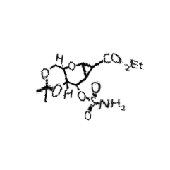 CCOC(=O)C1C2O[C@@H]3COC(C)(C)O[C@H]3[C@H](OS(N)(=O)=O)C21